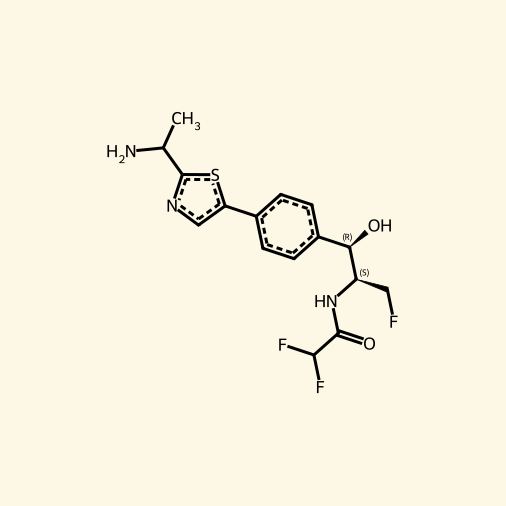 CC(N)c1ncc(-c2ccc([C@@H](O)[C@@H](CF)NC(=O)C(F)F)cc2)s1